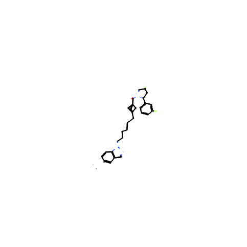 N#Cc1ccc2c(cnn2CCCCCCC23CC(C(=O)N4CC(F)CC4c4cccc(F)c4)(C2)C3)c1